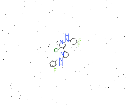 Fc1cccc(CNc2cccc(-c3cc(NC4CCC(F)(F)CC4)ncc3Cl)n2)c1